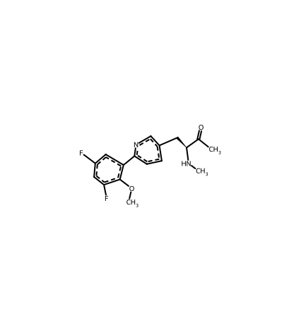 CN[C@@H](Cc1ccc(-c2cc(F)cc(F)c2OC)nc1)C(C)=O